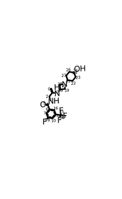 C=C(CNC(=O)c1cc(F)cc(C(F)(F)F)c1)NC1CN(C2CCC(O)CC2)C1